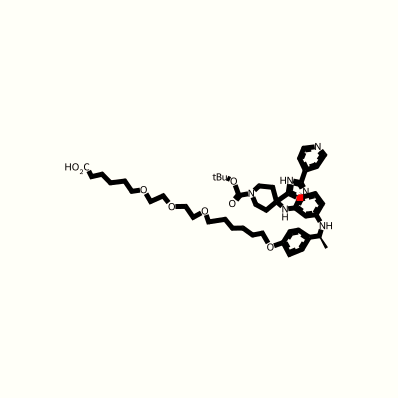 C[C@H](Nc1cccc(NC2(c3nnc(-c4ccncc4)[nH]3)CCN(C(=O)OC(C)(C)C)CC2)c1)c1ccc(OCCCCCCOCCOCCOCCCCCC(=O)O)cc1